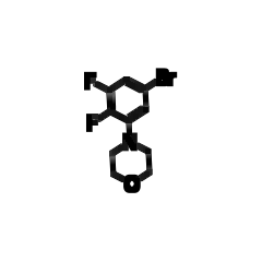 Fc1cc(Br)cc(N2CCOCC2)c1F